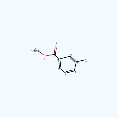 [CH2]c1cccc(C(=O)OCCCCCC)c1